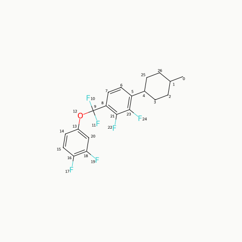 CC1CCC(c2ccc(C(F)(F)Oc3ccc(F)c(F)c3)c(F)c2F)CC1